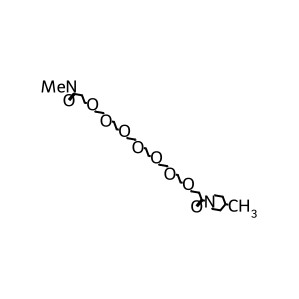 CNC(=O)CCOCCOCCOCCOCCOCCOCCOCCC(=O)N1CCC(C)CC1